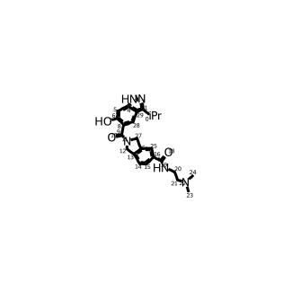 CC(C)c1n[nH]c2cc(O)c(C(=O)N3Cc4ccc(C(=O)NCCN(C)C)cc4C3)cc12